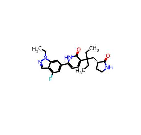 CCn1ncc2c(F)cc(-c3ccc(C(CC)(CC)C[C@H]4CCNC4=O)c(=O)[nH]3)cc21